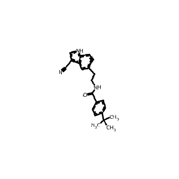 CC(C)(C)c1ccc(C(=O)NCCc2ccc3[nH]cc(C#N)c3c2)cc1